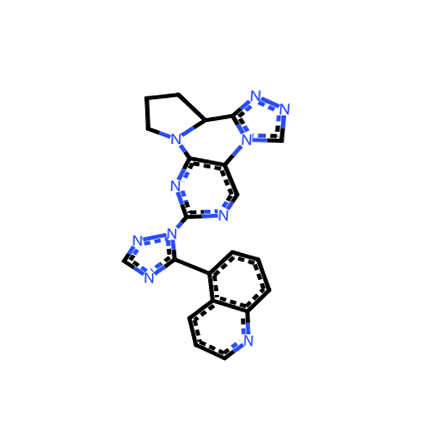 c1cc(-c2ncnn2-c2ncc3c(n2)N2CCCC2c2nncn2-3)c2cccnc2c1